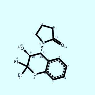 CCC1(CC)Oc2ccccc2[C@@H](N2CCCC2=O)[C@@H]1O